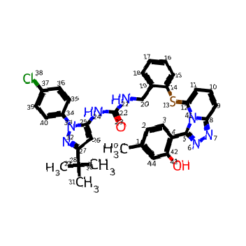 Cc1ccc(-c2nnc3cccc(Sc4ccccc4CNC(=O)Nc4cc(C(C)(C)C)nn4-c4ccc(Cl)cc4)n23)c(O)c1